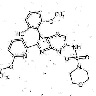 CCOC1=NC(c2nc3nc(NS(=O)(=O)N4CCOCC4)cnc3n2-c2c(O)cccc2OC)=C=C=C1